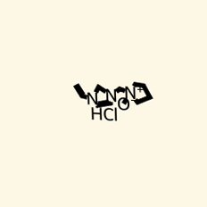 C=CN1C=CN(C[N+]2([O-])CCCC2)C1.Cl